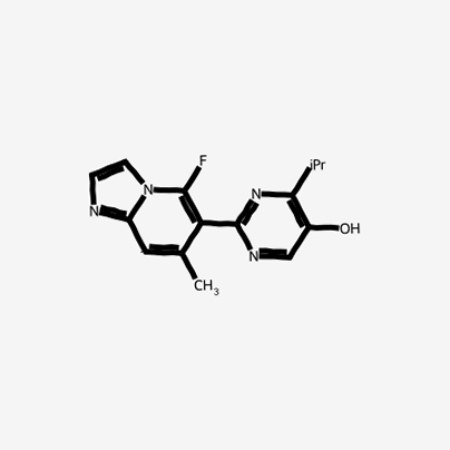 Cc1[c]c2nccn2c(F)c1-c1ncc(O)c(C(C)C)n1